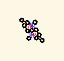 O=P1(c2ccc(P3(=O)N(c4ccc(-c5ccccc5)cc4)c4ccccc4N3c3ccc(-c4ccccc4)cc3)cc2)N(c2ccc(-c3ccccc3)cc2)c2ccccc2N1c1ccc(-c2ccccc2)cc1